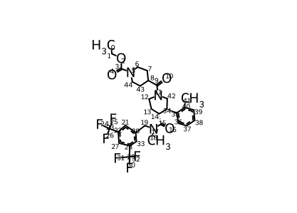 CCOC(=O)N1CCC(C(=O)N2CC[C@@H](C(=O)N(C)Cc3cc(C(F)(F)F)cc(C(F)(F)F)c3)[C@H](c3ccccc3C)C2)CC1